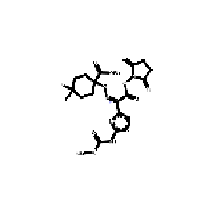 CC(C)COC(=O)C1(O/N=C(\C(=O)ON2C(=O)CCC2=O)c2csc(NC(=O)OC(C)(C)C)n2)CCC(F)(F)CC1